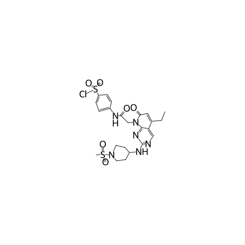 CCc1cc(=O)n(CC(=O)Nc2ccc(S(=O)(=O)Cl)cc2)c2nc(NC3CCN(S(C)(=O)=O)CC3)ncc12